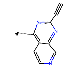 C#Cc1nc(CCC)c2ccncc2n1